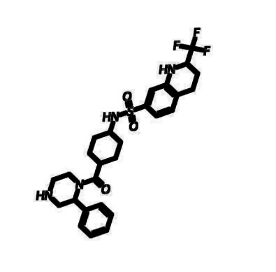 O=C(C1CCC(NS(=O)(=O)c2ccc3c(c2)NC(C(F)(F)F)CC3)CC1)N1CCNCC1c1ccccc1